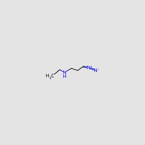 CCNCCC=[N+]=[N-]